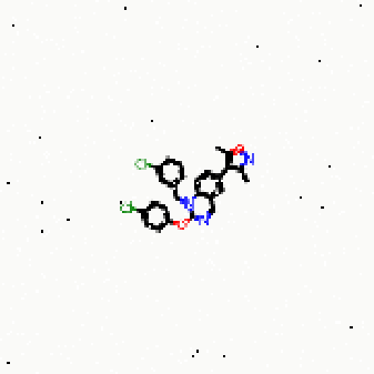 Cc1noc(C)c1-c1ccc2c(c1)C=NC(Oc1ccc(Cl)cc1)N2Cc1cccc(Cl)c1